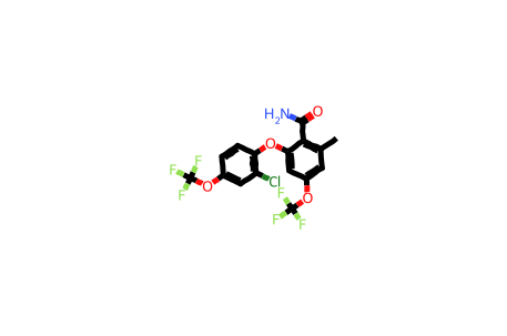 Cc1cc(OC(F)(F)F)cc(Oc2ccc(OC(F)(F)F)cc2Cl)c1C(N)=O